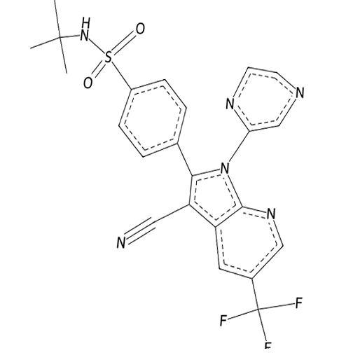 CC(C)(C)NS(=O)(=O)c1ccc(-c2c(C#N)c3cc(C(F)(F)F)cnc3n2-c2cnccn2)cc1